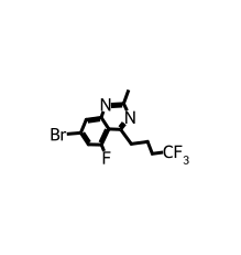 Cc1nc(CCCC(F)(F)F)c2c(F)cc(Br)cc2n1